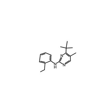 CCc1ccccc1Nc1ncc(C)c(C(C)(C)C)n1